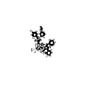 CCOc1cccc(-n2cc(C(=O)N3CC[N+](c4cnc5ccccc5c4)(c4cnc5ccccc5c4)C[C@@]3(CC)C(N)=O)nc2-c2ccc(C)cc2)c1